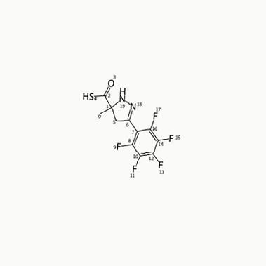 CC1(C(=O)S)CC(c2c(F)c(F)c(F)c(F)c2F)=NN1